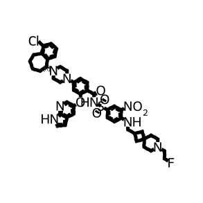 O=C(NS(=O)(=O)c1ccc(NCC2CC3(CCN(CCF)CC3)C2)c([N+](=O)[O-])c1)c1ccc(N2CCN([C@@H]3CCCCc4c(Cl)cccc43)CC2)cc1Oc1cnc2[nH]ccc2c1